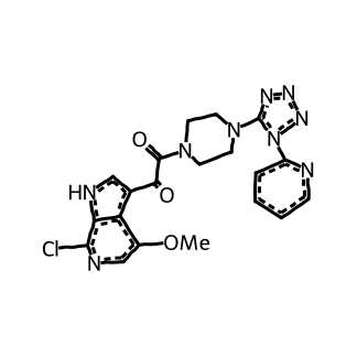 COc1cnc(Cl)c2[nH]cc(C(=O)C(=O)N3CCN(c4nnnn4-c4ccccn4)CC3)c12